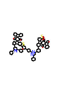 c1ccc(-c2cc(-c3cccc4c3-c3cc5c(cc3C43c4ccccc4C4(c6ccccc6-c6ccccc64)c4ccccc43)sc3cc(-c4ccc(-c6nc(-c7ccccc7)cc(-c7cccc(-c8ccc9c(c8)C8(c%10ccccc%10C%10(c%11ccccc%11-c%11ccccc%11%10)c%10ccccc%108)c8c-9ccc9sc%10ccccc%10c89)c7)n6)cc4)ccc35)cc(-c3ccccc3)n2)cc1